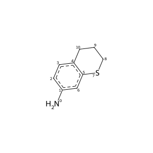 Nc1ccc2c(c1)SCCC2